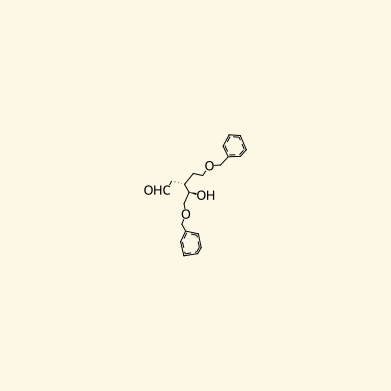 O=CC[C@H](CCOCc1ccccc1)[C@@H](O)COCc1ccccc1